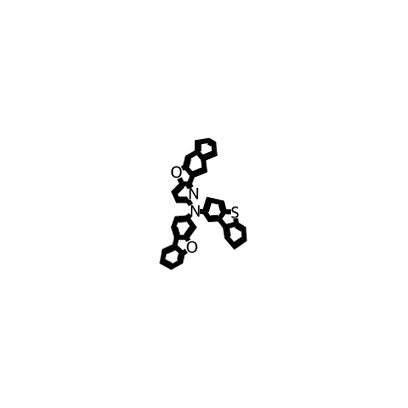 c1ccc2cc3c(cc2c1)oc1ccc(N(c2ccc4c(c2)oc2ccccc24)c2ccc4sc5ccccc5c4c2)nc13